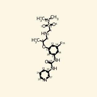 C[C@@H](CNCS(=O)(=O)N(C)C)Oc1cc(F)cc(NC(=O)Nc2cccnc2)c1